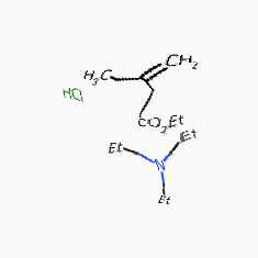 C=C(C)C(=O)OCC.CCN(CC)CC.Cl